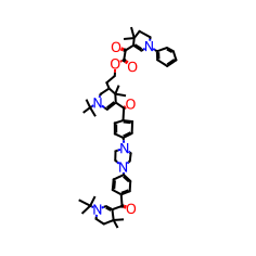 CC1(C)CCN(c2ccccc2)C=C1C(=O)C(=O)OCCC1CN(C(C)(C)C)C=C(C(=O)c2ccc(N3CCN(c4ccc(C(=O)C5=CN(C(C)(C)C)CCC5(C)C)cc4)CC3)cc2)C1(C)C